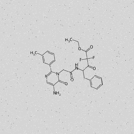 CCOC(=O)C(F)(F)C(=O)C(Cc1ccccc1)NC(=O)Cn1c(-c2cccc(C)c2)ncc(N)c1=O